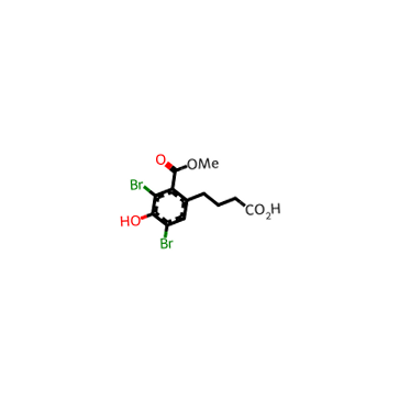 COC(=O)c1c(CCCC(=O)O)cc(Br)c(O)c1Br